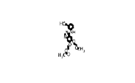 C#Cc1cccc(Nc2ncnc3cc(OCCOC(C)=O)c(OCCOC)cc23)c1